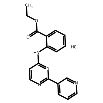 CCOC(=O)c1ccccc1Nc1ccnc(-c2cccnc2)n1.Cl